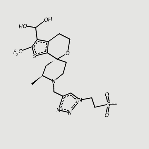 C[C@H]1C[C@@]2(CCN1Cc1cn(CCS(C)(=O)=O)nn1)OCCc1c2sc(C(F)(F)F)c1C(O)O